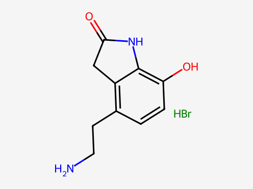 Br.NCCc1ccc(O)c2c1CC(=O)N2